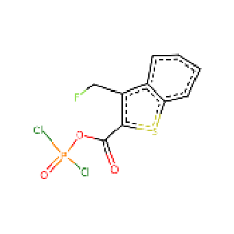 O=C(OP(=O)(Cl)Cl)c1sc2ccccc2c1CF